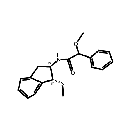 COC(C(=O)N[C@@H]1Cc2ccccc2[C@H]1SC)c1ccccc1